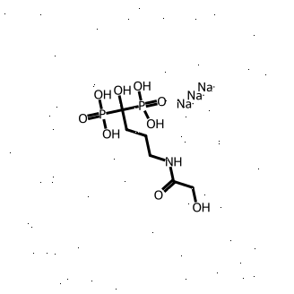 O=C(CO)NCCCC(O)(P(=O)(O)O)P(=O)(O)O.[Na].[Na].[Na]